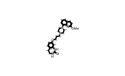 COc1ccc2cccc(N3CCN(CCCOc4ccc5c(c4)NC(=O)NCC5)CC3)c2n1